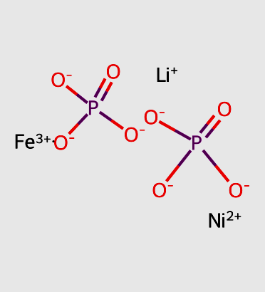 O=P([O-])([O-])[O-].O=P([O-])([O-])[O-].[Fe+3].[Li+].[Ni+2]